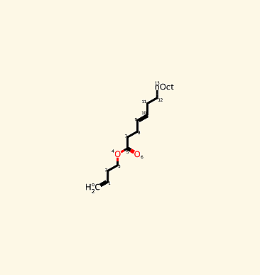 C=CCCOC(=O)CC/C=C/CCCCCCCCCC